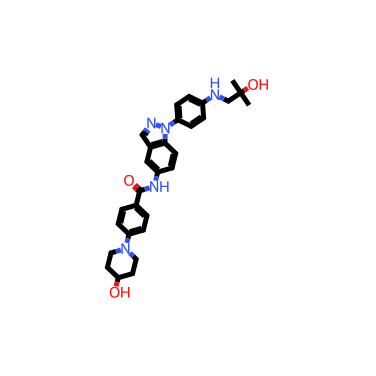 CC(C)(O)CNc1ccc(-n2ncc3cc(NC(=O)c4ccc(N5CCC(O)CC5)cc4)ccc32)cc1